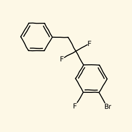 Fc1cc(C(F)(F)Cc2ccccc2)ccc1Br